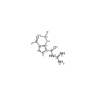 CC(=O)c1csc(C(=O)NC(=N)N)c1CC(C)C